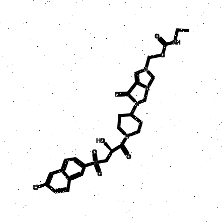 CCNC(=O)OCN1C=C2C(=O)N(C3CCN(C(=O)[C@H](O)CS(=O)(=O)c4ccc5cc(Cl)ccc5c4)CC3)CN2C1